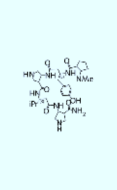 CNC1CCCC1C(=O)N[C@H](CC(=O)NC1CNCC1C(=O)N[C@H](CC(=O)NC1CNCC1C(N)=O)C(C)C)Cc1ccc(O)cc1